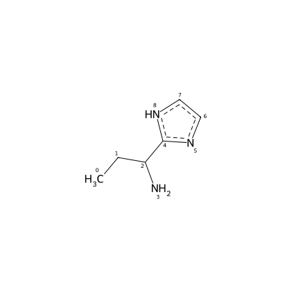 CCC(N)c1ncc[nH]1